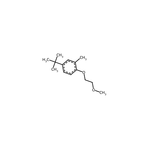 COCCOc1ccc(C(C)(C)C)cc1C